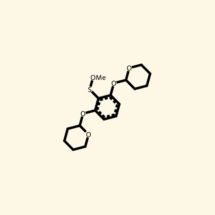 COSc1c(OC2CCCCO2)cccc1OC1CCCCO1